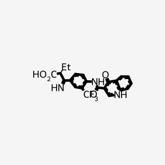 CC[C@H](C(=N)c1ccc(NC(=O)c2c[nH]c3ccccc3c2=O)c(C(F)(F)F)c1)C(=O)O